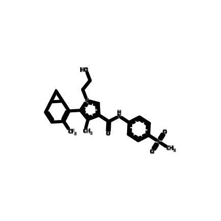 Cc1c(C(=O)Nc2ccc(S(C)(=O)=O)cc2)cn(CCO)c1C1=C(C(F)(F)F)C=CC2CC12